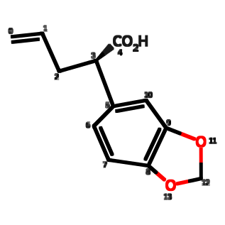 C=CC[C@@H](C(=O)O)c1ccc2c(c1)OCO2